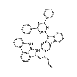 C=C/C=C(\C=C1/NB2Nc3ccccc3-c3cccc1c32)c1ccc2c(c1)c1ccccc1n2-c1nc(-c2ccccc2)nc(-c2ccccc2)n1